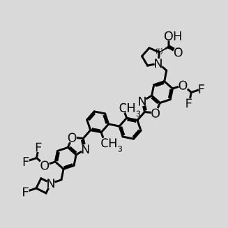 Cc1c(-c2nc3cc(CN4CC(F)C4)c(OC(F)F)cc3o2)cccc1-c1cccc(-c2nc3cc(CN4CCC[C@H]4C(=O)O)c(OC(F)F)cc3o2)c1C